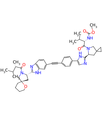 COC(=O)N[C@H](C(=O)N1CC2(CC2)C[C@H]1c1ncc(-c2ccc(C#Cc3ccc4nc([C@@H]5C[C@@]6(CCCCO6)CN5C(=O)[C@@H](C)C(C)C)[nH]c4c3)cc2)[nH]1)C(C)C